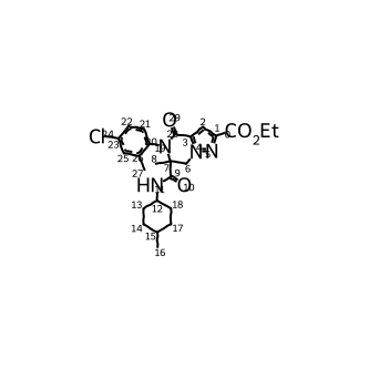 CCOC(=O)c1cc2n(n1)CC(C)(C(=O)NC1CCC(C)CC1)N(c1ccc(Cl)cc1C)C2=O